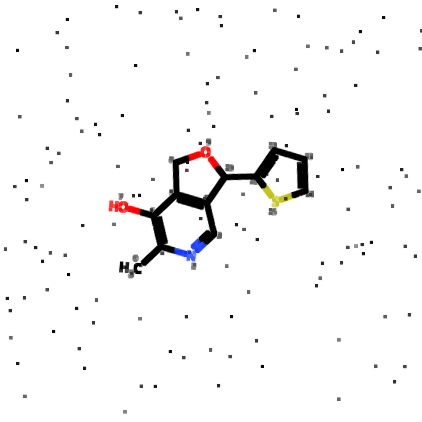 Cc1ncc2c(c1O)COC2c1cccs1